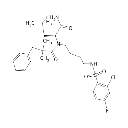 CC(C)C[C@@H](C(N)=O)N(CCCCNS(=O)(=O)c1ccc(F)cc1Cl)C(=O)C(C)(C)Cc1ccccc1